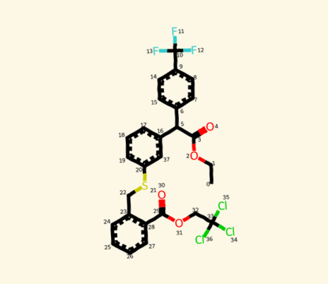 CCOC(=O)C(c1ccc(C(F)(F)F)cc1)c1cccc(SCc2ccccc2C(=O)OCC(Cl)(Cl)Cl)c1